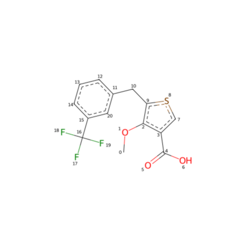 COc1c(C(=O)O)csc1Cc1cccc(C(F)(F)F)c1